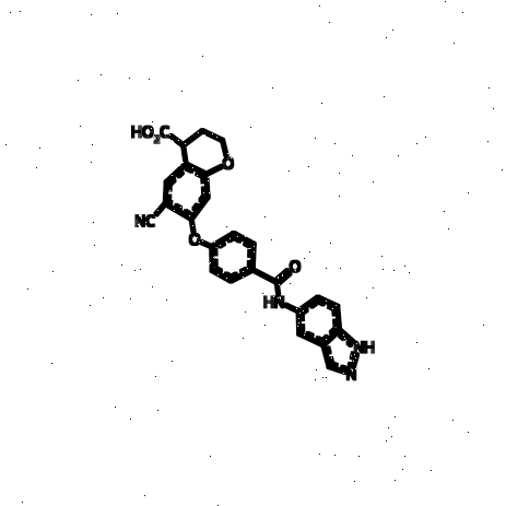 N#Cc1cc2c(cc1Oc1ccc(C(=O)Nc3ccc4[nH]ncc4c3)cc1)OCCC2C(=O)O